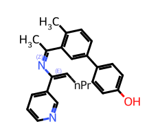 CCC/C=C(/N=C(/C)c1cc(-c2ccc(O)cc2)ccc1C)c1cccnc1